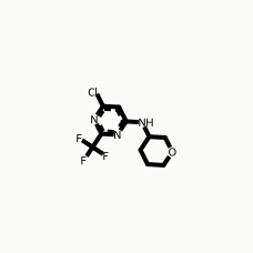 FC(F)(F)c1nc(Cl)cc(NC2CCCOC2)n1